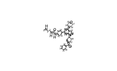 CNCCNC(=O)Nc1ccc(-c2nc(N3CCOCC3)c3cnn(C4CCN(C(=O)c5ccccc5)CC4)c3n2)cc1